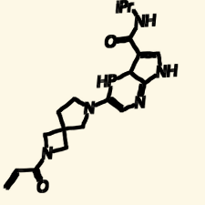 C=CC(=O)N1CC2(CCN(C3=CN=C4NC=C(C(=O)NC(C)C)C4P3)C2)C1